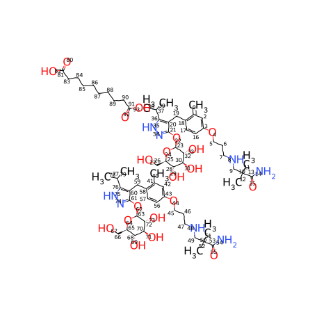 Cc1cc(OCCCNCC(C)(C)C(N)=O)ccc1Cc1c(O[C@@H]2O[C@H](CO)[C@@H](O)[C@H](O)[C@H]2O)n[nH]c1C(C)C.Cc1cc(OCCCNCC(C)(C)C(N)=O)ccc1Cc1c(O[C@@H]2O[C@H](CO)[C@@H](O)[C@H](O)[C@H]2O)n[nH]c1C(C)C.O=C(O)CCCCCCCCC(=O)O